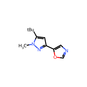 Cn1nc(-c2cnco2)cc1C(C)(C)C